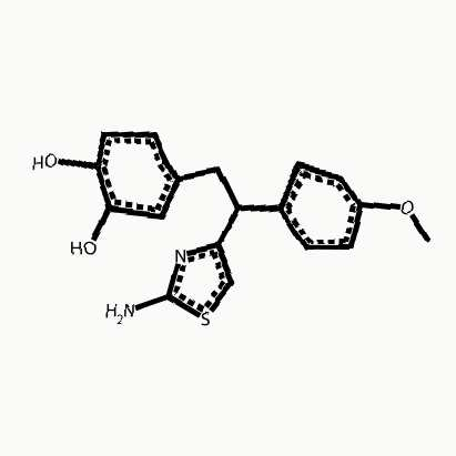 COc1ccc(C(Cc2ccc(O)c(O)c2)c2csc(N)n2)cc1